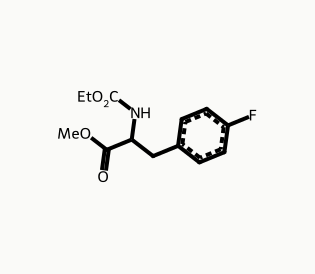 CCOC(=O)NC(Cc1ccc(F)cc1)C(=O)OC